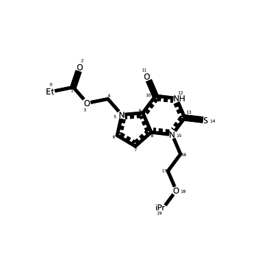 CCC(=O)OCn1ccc2c1c(=O)[nH]c(=S)n2CCOC(C)C